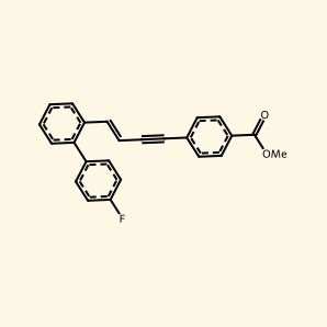 COC(=O)c1ccc(C#C/C=C/c2ccccc2-c2ccc(F)cc2)cc1